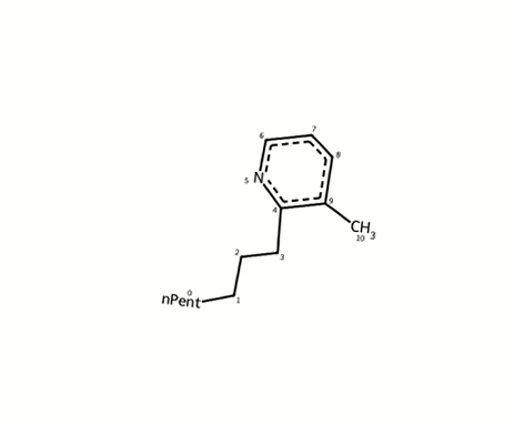 CCCCCCCCc1ncccc1C